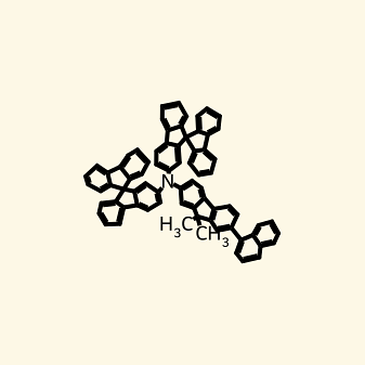 CC1(C)c2cc(-c3cccc4ccccc34)ccc2-c2ccc(N(c3ccc4c(c3)C3(c5ccccc5-c5ccccc53)c3ccccc3-4)c3ccc4c(c3)C3(c5ccccc5-c5ccccc53)c3ccccc3-4)cc21